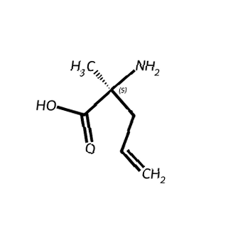 C=CC[C@](C)(N)C(=O)O